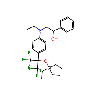 CCN(CC(O)c1ccccc1)c1ccc(C(O[Si](CC)(CC)CC)(C(F)(F)F)C(F)(F)F)cc1